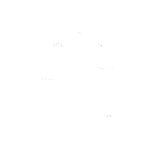 Cc1cccc(Nc2cc(N3CCC(CO)CC3)ncn2)c1